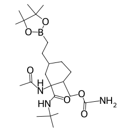 CC(=O)NC1(C(=O)NC(C)(C)C)CC(CCB2OC(C)(C)C(C)(C)O2)CCC1COC(N)=O